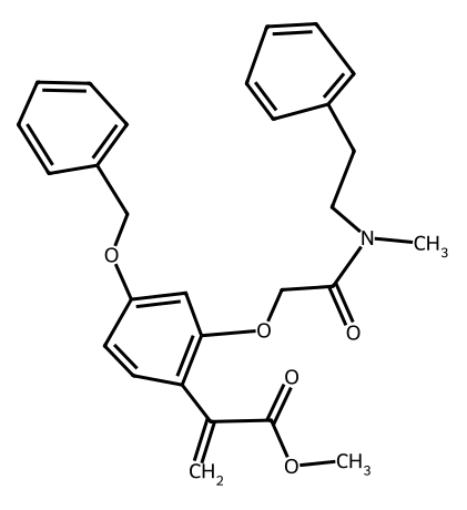 C=C(C(=O)OC)c1ccc(OCc2ccccc2)cc1OCC(=O)N(C)CCc1ccccc1